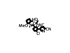 COc1cccc(C)c1N(C)C(=O)c1ccc(Cl)c(-c2cnc(C#N)cc2C#N)c1OCCO